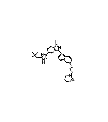 C[C@H]1CCCCN1CCOc1ccc2cc(-c3n[nH]c4ccc(-c5n[nH]c(CC(C)(C)C)n5)cc34)ccc2c1